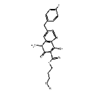 CCOCCCNC(=O)c1c(O)c2ncc(Cc3ccc(F)cc3)cc2n(C)c1=O